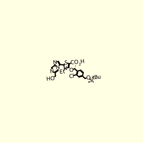 CCN1C(O[C@H](C)c2ccc(CO[Si](C)(C)C(C)(C)C)cc2Cl)=C(C(=O)O)SC1c1cnc2cnc(CO)cn12